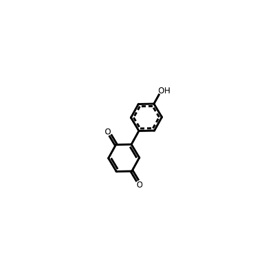 O=C1C=CC(=O)C(c2ccc(O)cc2)=C1